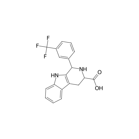 O=C(O)C1Cc2c([nH]c3ccccc23)C(c2cccc(C(F)(F)F)c2)N1